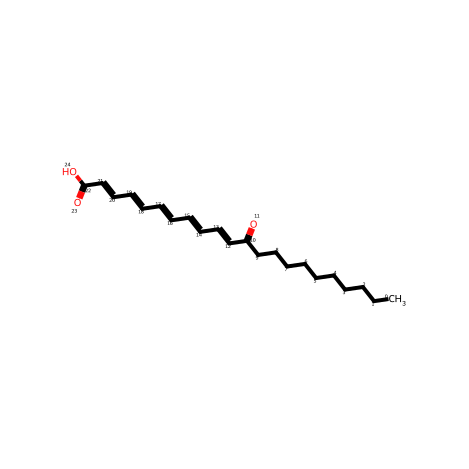 CCCCCCCCCCC(=O)C=CC=CC=CC=CC=CC(=O)O